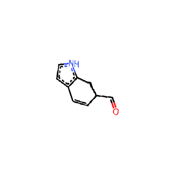 O=CC1C=Cc2cc[nH]c2C1